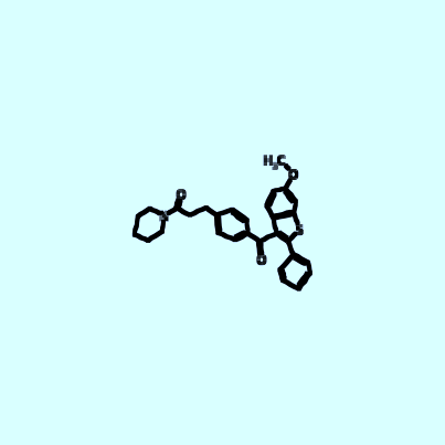 COc1ccc2c(C(=O)c3ccc(CCC(=O)N4CCCCC4)cc3)c(-c3ccccc3)sc2c1